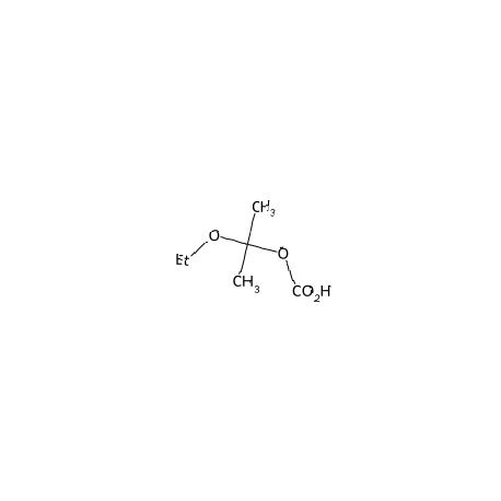 CCOC(C)(C)OC(=O)O